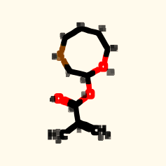 C=C(C)C(=O)OC1CSCCCCO1